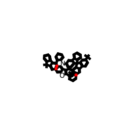 CC(C)(C)c1ccc2c(c1)C1(c3ccccc3-c3cc(N(c4ccccc4-c4cccc5c4-c4ccccc4C5(C)C)c4cccc5oc6c7ccccc7ccc6c45)ccc31)c1cc(C(C)(C)C)ccc1-2